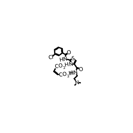 CN(C)CCNC(=O)c1csc(NC(=O)c2cccc(Cl)c2)n1.O=C(O)/C=C\C(=O)O